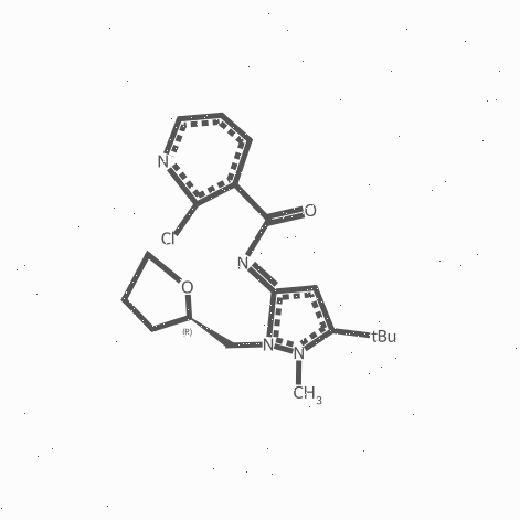 Cn1c(C(C)(C)C)cc(=NC(=O)c2cccnc2Cl)n1C[C@H]1CCCO1